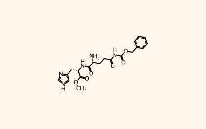 COC(=O)[C@H](Cc1c[nH]cn1)NC(=O)[C@@H](N)CCC(=O)NC(=O)OCc1ccccc1